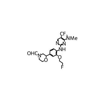 CNc1nc(Nc2ccc(C3CN(C=O)CCO3)cc2OCCF)ncc1C(F)(F)F